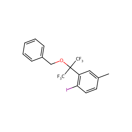 Cc1ccc(I)c(C(OCc2ccccc2)(C(F)(F)F)C(F)(F)F)c1